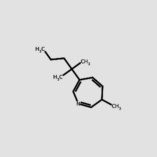 CCCC(C)(C)C1=CN=CC(C)C=C1